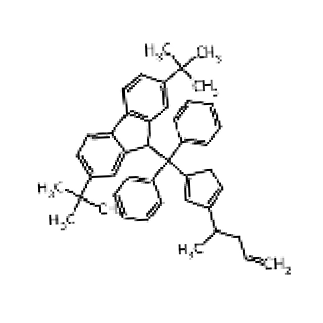 C=CCC(C)C1=CCC(C(c2ccccc2)(c2ccccc2)C2c3cc(C(C)(C)C)ccc3-c3ccc(C(C)(C)C)cc32)=C1